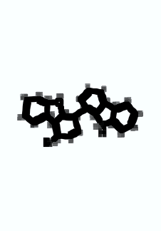 Brc1ccc(-c2cccc3c2[nH]c2ccccc23)c2oc3ccccc3c12